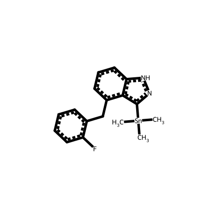 [CH3][Sn]([CH3])([CH3])[c]1n[nH]c2cccc(Cc3ccccc3F)c12